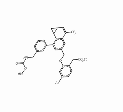 CCOC(=O)Cc1ccc(C(C)=O)cc1OCc1cc2c(c(-c3cccc(CNC(=O)OC(C)(C)C)c3)c1)C1CC1C=C2C(F)(F)F